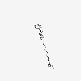 CCCCCCCCCCOOOOC12C=CC(CC1)C2